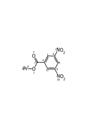 CC(C)OC(=O)c1cc([N+](=O)[O-])cc([N+](=O)[O-])c1